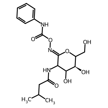 CC(C)CC(=O)NC1/C(=N/OC(=O)Nc2ccccc2)OC(CO)[C@@H](O)C1O